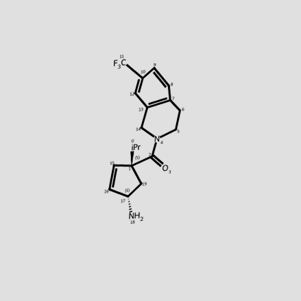 CC(C)[C@]1(C(=O)N2CCc3ccc(C(F)(F)F)cc3C2)C=C[C@@H](N)C1